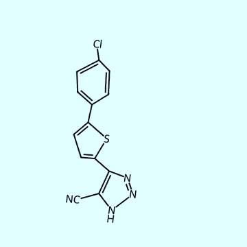 N#Cc1[nH]nnc1-c1ccc(-c2ccc(Cl)cc2)s1